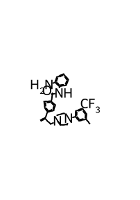 C=C(CN1CCN(c2cc(C)cc(C(F)(F)F)c2)CC1)c1ccc(C(=O)Nc2ccccc2N)cc1